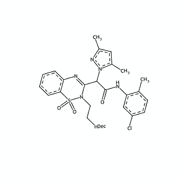 CCCCCCCCCCCCN1C(C(C(=O)Nc2cc(Cl)ccc2C)n2nc(C)cc2C)=Nc2ccccc2S1(=O)=O